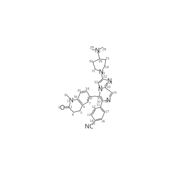 CN1C(=O)CCc2cc(-c3c(-c4ccc(C#N)cc4)ncc4nc(N5CCC(N(C)C)CC5)cn34)ccc21